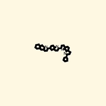 c1ccc(-c2ccc3ccc4ccc(-c5ccc6cc(-c7ccc8cc9ccccc9cc8n7)ccc6n5)nc4c3n2)cc1